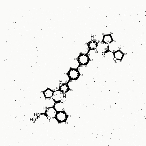 CNC(=O)N[C@@H](C(=O)N1CCC[C@H]1c1nc(-c2ccc(-c3ccc(-c4c[nH]c([C@@H]5CCCN5C(=O)[C@H]5CCCO5)n4)cc3)cc2)c[nH]1)c1ccccc1